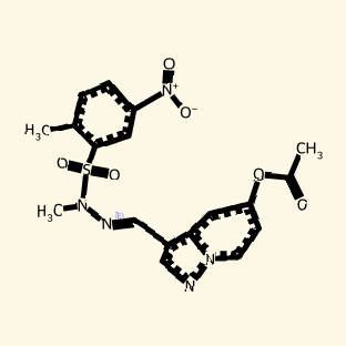 CC(=O)Oc1ccn2ncc(/C=N/N(C)S(=O)(=O)c3cc([N+](=O)[O-])ccc3C)c2c1